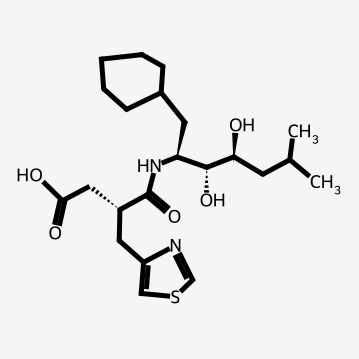 CC(C)C[C@H](O)[C@H](O)[C@H](CC1CCCCC1)NC(=O)[C@@H](CC(=O)O)Cc1cscn1